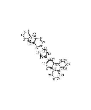 c1ccc2c(c1)Oc1ccc(-c3cnc(-c4ccc5c6ccccc6c6ccccc6c5c4)nc3)cc1S2